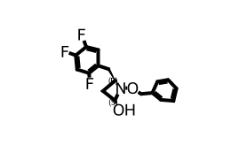 O[C@H]1C[C@@H](Cc2cc(F)c(F)cc2F)N1OCc1ccccc1